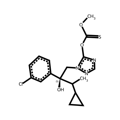 COC(=S)Oc1ncnn1C[C@@](O)(c1cccc(Cl)c1)C(C)C1CC1